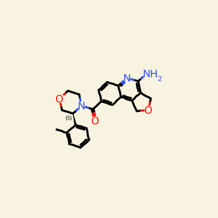 Cc1ccccc1[C@H]1COCCN1C(=O)c1ccc2nc(N)c3c(c2c1)COC3